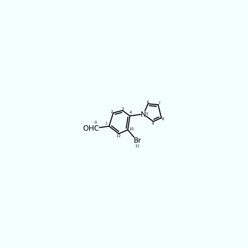 O=Cc1ccc(-n2cccc2)c(Br)c1